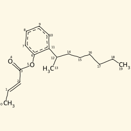 CC=CC(=O)Oc1ccccc1C(C)CCCCCC